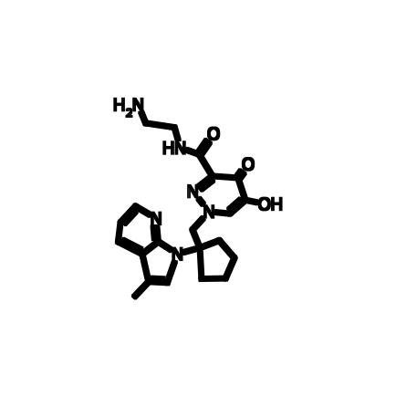 Cc1cn(C2(Cn3cc(O)c(=O)c(C(=O)NCCN)n3)CCCC2)c2ncccc12